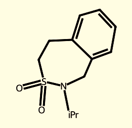 CC(C)N1Cc2ccccc2CCS1(=O)=O